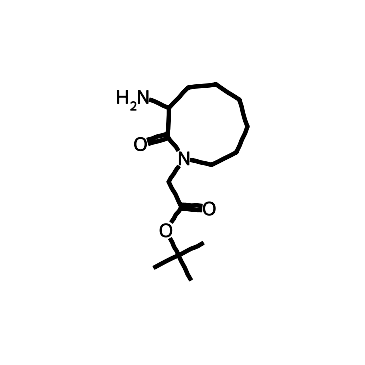 CC(C)(C)OC(=O)CN1CCCCCCC(N)C1=O